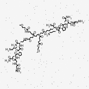 COCCOC(=O)CCCC(=O)N(CCC(=O)CCCCC[C@H](N[C@@H](CCCCN)C(=O)C(=O)[C@@H]1CCCN1C(=O)[C@H](CCC(N)=O)NC(=O)CNC(=O)CNN)C(N)=O)CCN(CCC(=O)NCCCC[C@H](N[C@@H](CCCCN)C(=O)C(=O)[C@@H]1CCCN1C(=O)[C@H](CCC(N)=O)NC(=O)CNC(=O)CNN)C(N)=O)C(=O)CCNC(=O)OCCOC